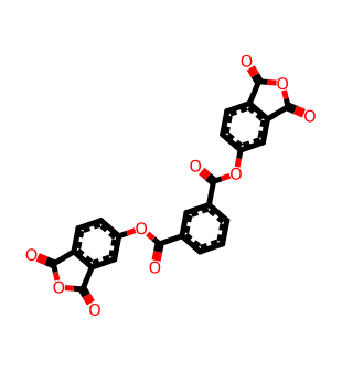 O=C(Oc1ccc2c(c1)C(=O)OC2=O)c1cccc(C(=O)Oc2ccc3c(c2)C(=O)OC3=O)c1